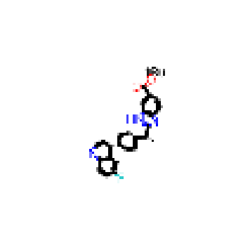 C[C@@H](c1nc2ccc(C(=O)OC(C)(C)C)cc2[nH]1)[C@H]1CC[C@@H](c2ccnc3ccc(F)cc32)CC1